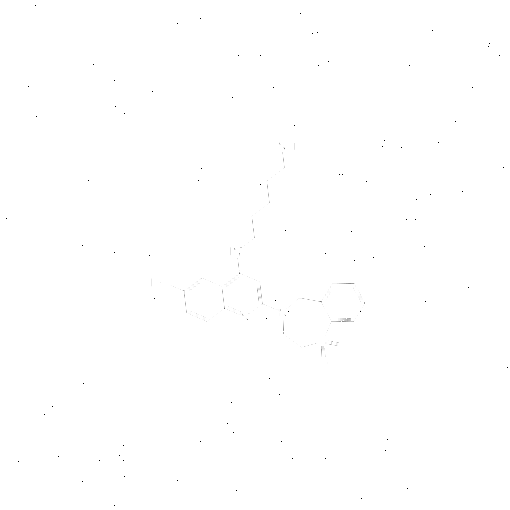 Cc1ccc2nc(N3CCS(=O)(=O)c4ccccc4C3)cc(NCCCCCN)c2c1